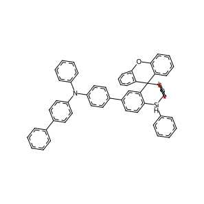 c1ccc(-c2ccc(N(c3ccccc3)c3ccc(-c4ccc5c(c4)C4(c6ccccc6Oc6ccccc64)c4ccccc4[SiH]5c4ccccc4)cc3)cc2)cc1